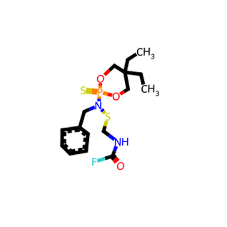 CCC1(CC)COP(=S)(N(Cc2ccccc2)SCNC(=O)F)OC1